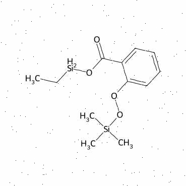 CC[SiH2]OC(=O)c1ccccc1OO[Si](C)(C)C